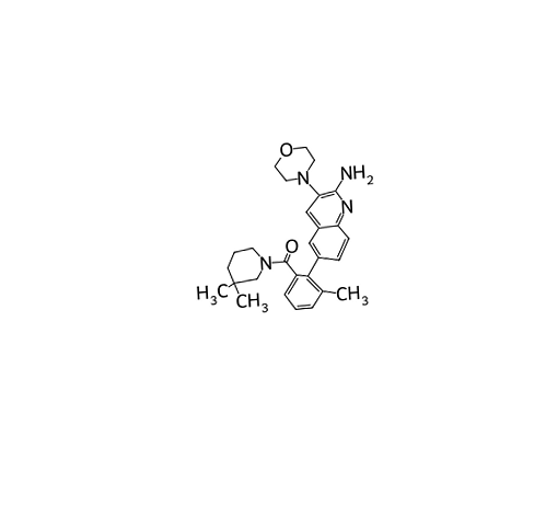 Cc1cccc(C(=O)N2CCCC(C)(C)C2)c1-c1ccc2nc(N)c(N3CCOCC3)cc2c1